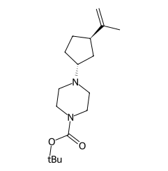 C=C(C)[C@@H]1CC[C@@H](N2CCN(C(=O)OC(C)(C)C)CC2)C1